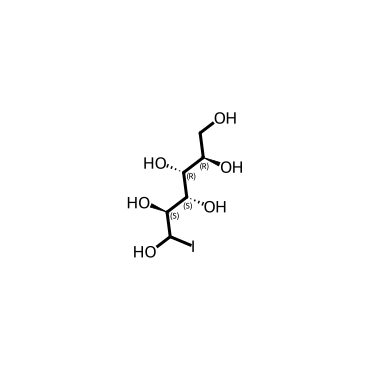 OC[C@@H](O)[C@@H](O)[C@H](O)[C@H](O)C(O)I